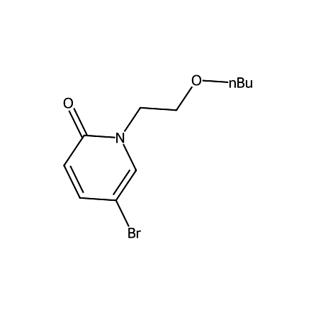 CCCCOCCn1cc(Br)ccc1=O